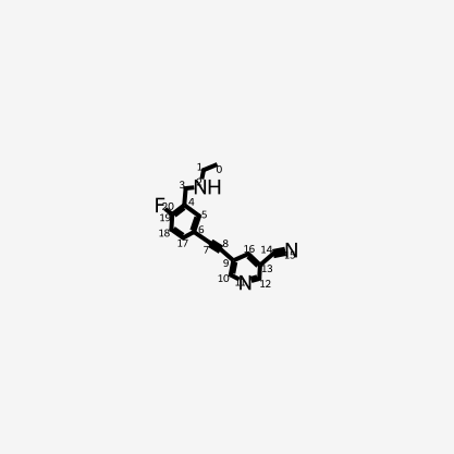 CCNCc1cc(C#Cc2cncc(C#N)c2)ccc1F